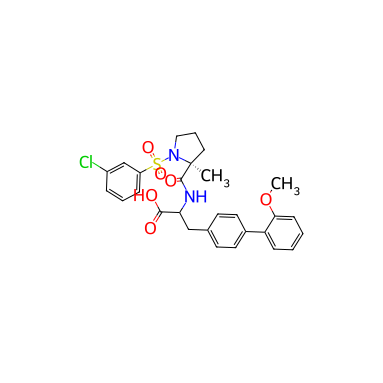 COc1ccccc1-c1ccc(CC(NC(=O)[C@]2(C)CCCN2S(=O)(=O)c2cccc(Cl)c2)C(=O)O)cc1